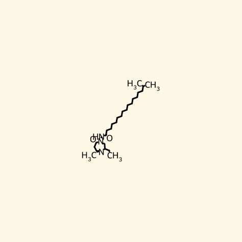 CCC1CN(NC(=O)CCCCCCCCCCCCCCC(C)C)C(=O)CC(C)=N1